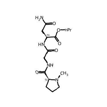 CCCOC(=O)[C@H](CC(N)=O)NC(=O)CNC(=O)[C@@H]1CCCN1C